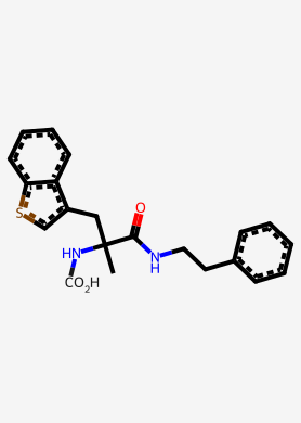 CC(Cc1csc2ccccc12)(NC(=O)O)C(=O)NCCc1ccccc1